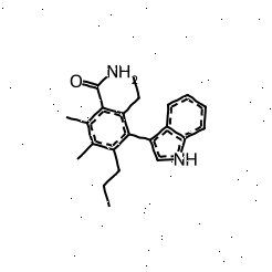 CCCc1c(C)c(C)c(C(N)=O)c(CC)c1-c1c[nH]c2ccccc12